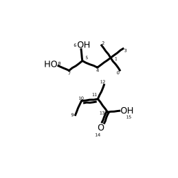 CC(C)(C)CC(O)CO.CC=C(C)C(=O)O